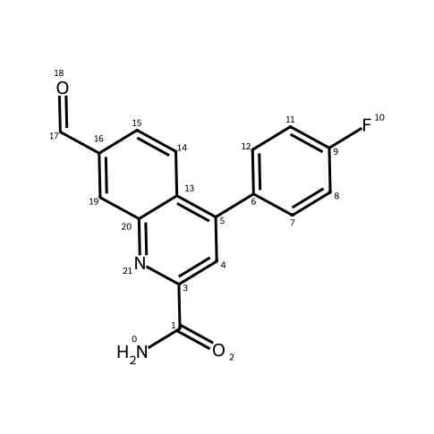 NC(=O)c1cc(-c2ccc(F)cc2)c2ccc(C=O)cc2n1